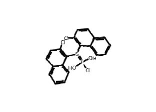 OP(O)(Cl)=S(c1c(Cl)ccc2ccccc12)c1c(Cl)ccc2ccccc12